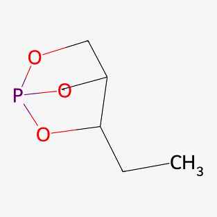 CCC1OP2OCC1CO2